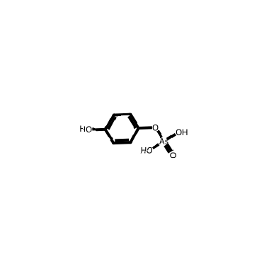 O=[As](O)(O)Oc1ccc(O)cc1